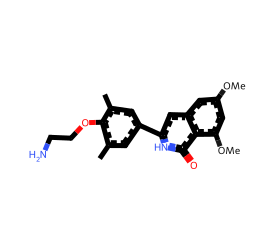 COc1cc(OC)c2c(=O)[nH]c(-c3cc(C)c(OCCN)c(C)c3)cc2c1